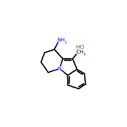 Cc1c2n(c3ccccc13)CCCC2N.Cl